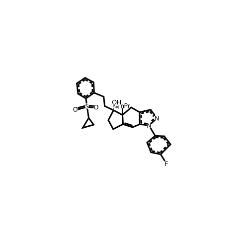 CCCC12Cc3cnn(-c4ccc(F)cc4)c3C=C1CC[C@@]2(O)CCc1ccccc1S(=O)(=O)C1CC1